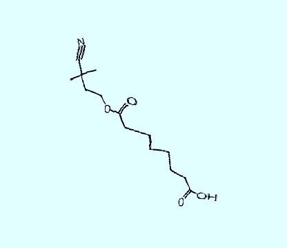 CC(C)(C#N)CCOC(=O)CCCCCCC(=O)O